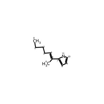 CCCC/C=C(\C)C1=CC=C[N]1